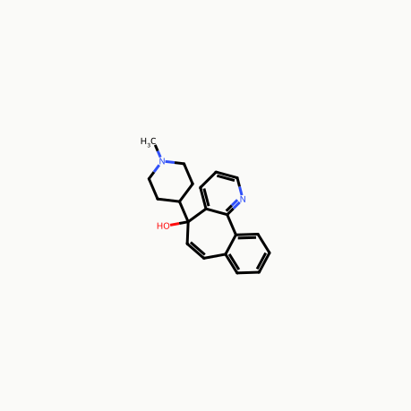 CN1CCC(C2(O)C=Cc3ccccc3-c3ncccc32)CC1